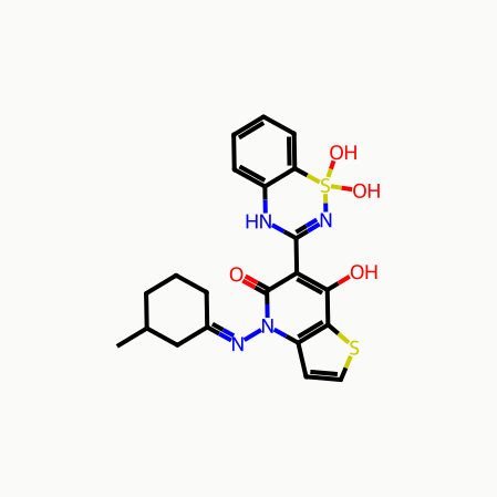 CC1CCCC(=Nn2c(=O)c(C3=NS(O)(O)c4ccccc4N3)c(O)c3sccc32)C1